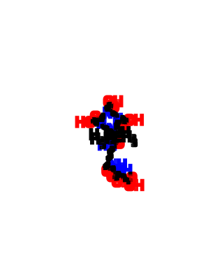 CC(C)(C(=O)NCCCC[C@@H](C=O)NC(=O)N[C@@H](CCC(=O)O)C(=O)O)C(C)(C)N1CCN(CC(=O)O)CCN(CC(=O)O)CCN(CC(=O)O)CC1